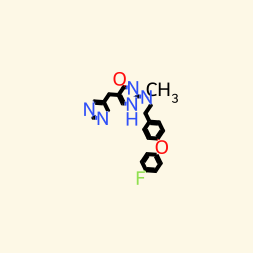 CN(CCc1ccc(Oc2ccc(F)cc2)cc1)c1nc(=O)c(Cc2cncnc2)c[nH]1